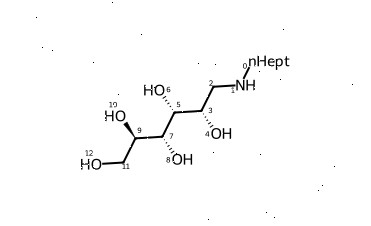 CCCCCCCNC[C@H](O)[C@@H](O)[C@H](O)[C@H](O)CO